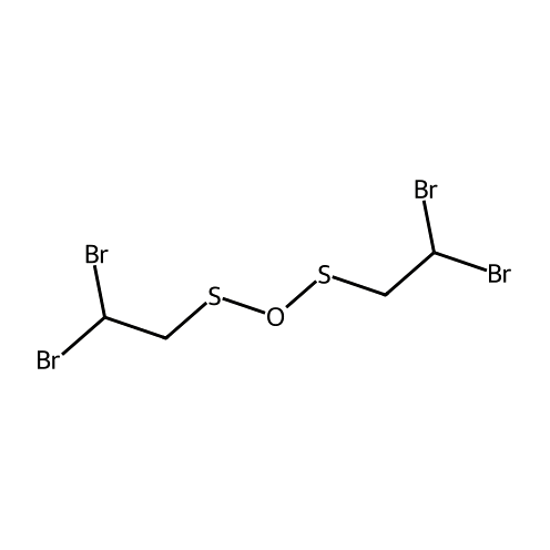 BrC(Br)CSOSCC(Br)Br